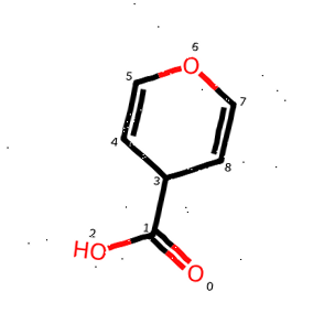 O=C(O)C1C=COC=C1